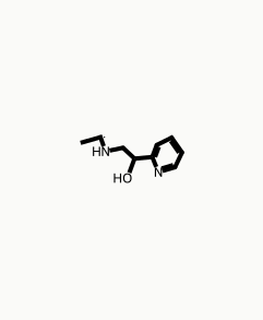 C[CH]NCC(O)c1ccccn1